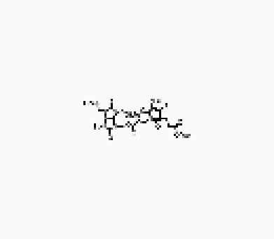 CCCCn1c(=O)n(CCC(=O)OC)c(=O)n(CCC(=O)OCN2C(=O)N(CC)C3C2N(COC)C(=O)N3COC)c1=O